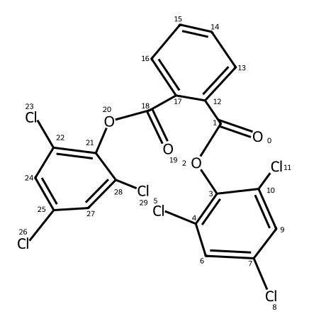 O=C(Oc1c(Cl)cc(Cl)cc1Cl)c1ccccc1C(=O)Oc1c(Cl)cc(Cl)cc1Cl